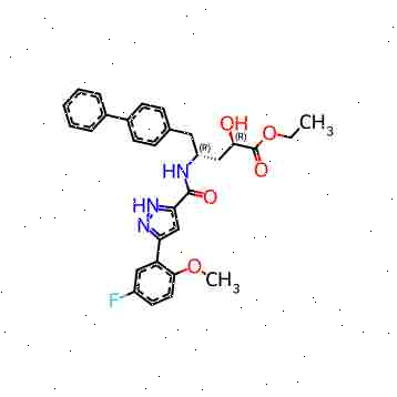 CCOC(=O)[C@H](O)C[C@@H](Cc1ccc(-c2ccccc2)cc1)NC(=O)c1cc(-c2cc(F)ccc2OC)n[nH]1